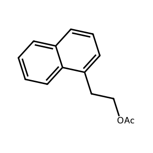 CC(=O)OCCc1cccc2ccccc12